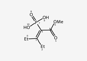 CCC(CC)=C(C(=O)OC)P(=O)(O)O